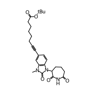 Cn1c(=O)n(C2CCCC(=O)NC2=O)c2ccc(C#CCCCCCC(=O)OC(C)(C)C)cc21